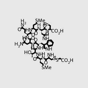 CSCCC(NC(=O)[C@H](CCC(N)=O)NC(=O)C(CC(N)=O)NC(=O)[C@H](Cc1c[nH]c2ccccc12)NC(=O)[C@@H](NC(=O)[C@H](CCSC)NC(=O)C(N)CSSCC(=O)O)[C@@H](C)O)C(=O)N[C@@H](CC(N)=O)C(=O)NC(CC(C)C)C(=O)O